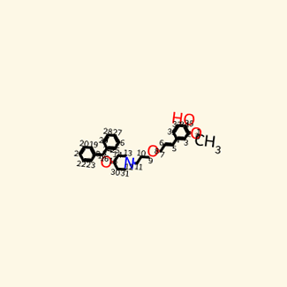 COc1cc(C=CCOCCCN2CCC(OC(c3ccccc3)c3ccccc3)CC2)ccc1O